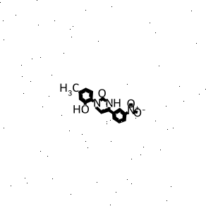 Cc1ccc(N2CC=C(c3cccc([N+](=O)[O-])c3)NC2=O)c(O)c1